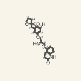 O=C1CCc2c(cccc2OCC(O)COc2cccc(CC3(C(=O)O)CCCO3)c2)N1